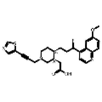 COc1ccc2nccc(C(F)CC[C@@H]3CCN(CC#Cc4cncs4)C[C@@H]3CC(=O)O)c2c1